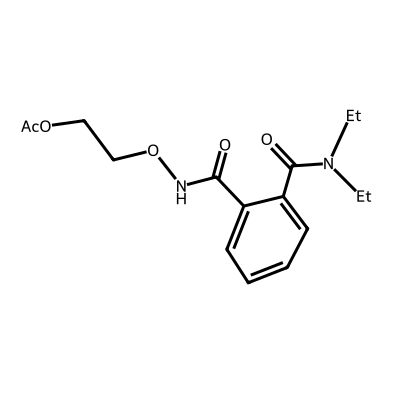 CCN(CC)C(=O)c1ccccc1C(=O)NOCCOC(C)=O